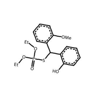 CCOP(=O)(OCC)SC(c1ccccc1O)c1ccccc1OC